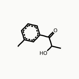 Cc1cccc(C(=O)C(C)O)c1